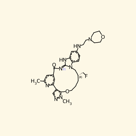 Cc1cc2cc(n1)-c1cnn(C)c1OCCC[C@@H](CF)CN1/C(=N/C2=O)Nc2cc(NCCN3CCOCC3)ccc21